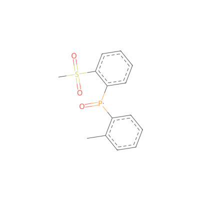 Cc1ccccc1[P](=O)c1ccccc1S(C)(=O)=O